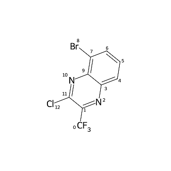 FC(F)(F)c1nc2cccc(Br)c2nc1Cl